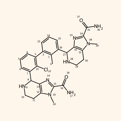 Cc1c(-c2cccc(C3NCCc4c3nc(C(N)=O)n4C)c2Cl)cccc1C1NCCc2c1nc(C(N)=O)n2C